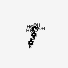 OC[C@H]1OC(c2ccc(OCc3ccc(F)cc3)cc2)[C@@H](O)[C@@H](O)[C@@H]1O